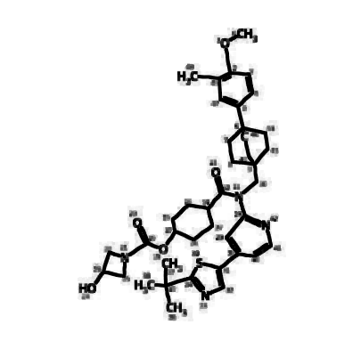 COc1ccc(C23CCC(CN(C(=O)C4CCC(OC(=O)N5CC(O)C5)CC4)c4cc(-c5cnc(C(C)(C)C)s5)ccn4)(CC2)CC3)cc1C